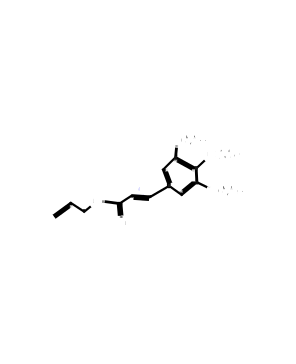 C=C[CH]OC(=O)/C=C/c1cc(OC)c(OC)c(OC)c1